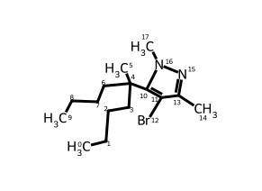 CCCCC(C)(CCCC)c1c(Br)c(C)nn1C